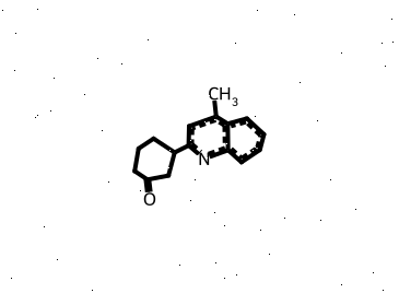 Cc1cc(C2CCCC(=O)C2)nc2ccccc12